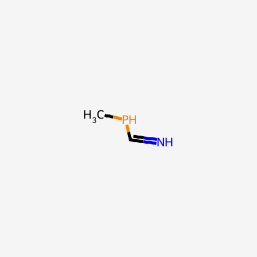 CPC=N